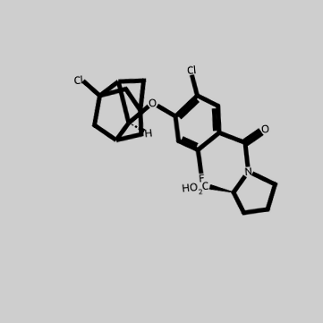 O=C(O)[C@@H]1CCCN1C(=O)c1cc(Cl)c(O[C@H]2C3CC4CC2C(Cl)(C4)C3)cc1F